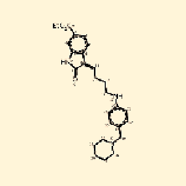 CCOC(=O)c1ccc2c(c1)NC(=O)C2=CCCCNc1ccc(CN2CCCCC2)cc1